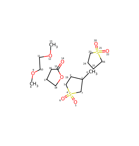 CC1CCS(=O)(=O)C1.COCCOC.O=C1CCCO1.O=S1(=O)CCCC1